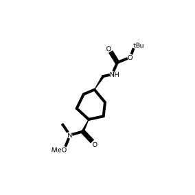 CON(C)C(=O)[C@H]1CC[C@@H](CNC(=O)OC(C)(C)C)CC1